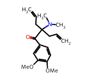 C=CCC(CC=C)(C(=O)c1ccc(OC)c(OC)c1)N(C)C